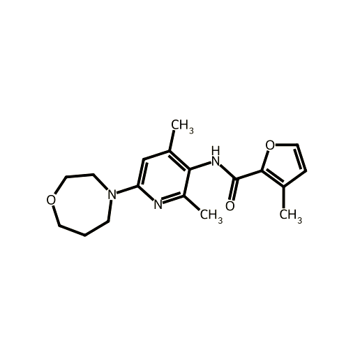 Cc1ccoc1C(=O)Nc1c(C)cc(N2CCCOCC2)nc1C